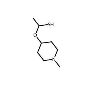 CC(S)OC1CCN(C)CC1